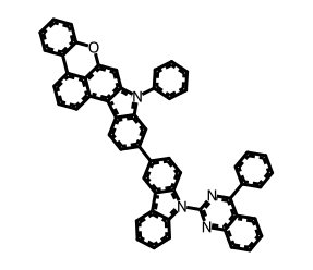 c1ccc(-c2nc(-n3c4ccccc4c4cc(-c5ccc6c7c8cccc9c8c(cc7n(-c7ccccc7)c6c5)Oc5ccccc5-9)ccc43)nc3ccccc23)cc1